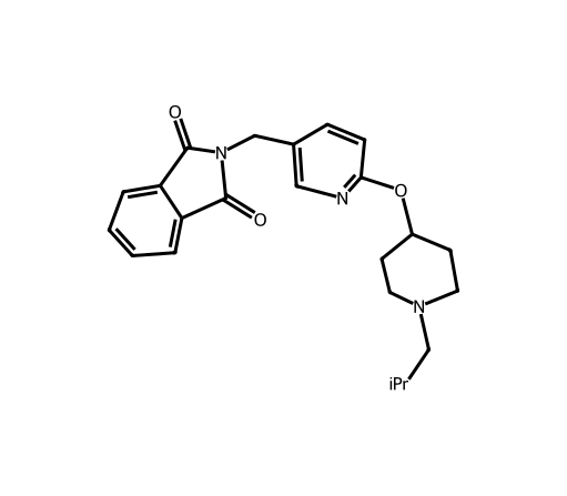 CC(C)CN1CCC(Oc2ccc(CN3C(=O)c4ccccc4C3=O)cn2)CC1